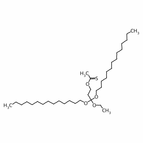 CCCCCCCCCCCCCCOC(CCOC(C)=S)(OCC)OCCCCCCCCCCCCCC